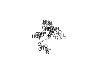 CNC(=O)N1CC[C@H]2CC[C@@H](C(=O)N[C@@H](CCC(N)=O)C(=O)N[C@@H](Cc3ccc(C(C)(C)C)cc3)C(=O)N3CCC(CCC#Cc4cccc5c4CN(C4CCC(=O)NC4=O)C5=O)CC3)N2C(=O)[C@@H](NC(=O)c2cc3cc(C(F)(F)P(=O)(O)O)ccc3s2)C1